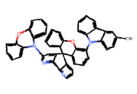 N#Cc1ccc2c(c1)c1ccccc1n2-c1cccc2c1Oc1ccccc1C21c2cccnc2-c2ncc(N3c4ccccc4Oc4ccccc43)cc21